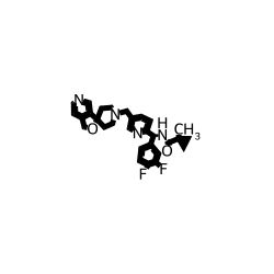 CC1(C(=O)N[C@@H](c2ccc(F)c(F)c2)c2ccc(CN3CCC4(CC3)OCc3ccncc34)cn2)CC1